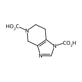 O=C(O)N1CCc2c(ncn2C(=O)O)C1